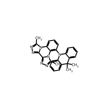 Cc1nnc2c3nnc(C)n3c3c(N4c5ccccc5C(C)(C)c5ccccc54)cccc3n12